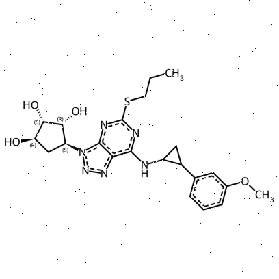 CCCSc1nc(NC2CC2c2cccc(OC)c2)c2nnn([C@H]3C[C@@H](O)[C@H](O)[C@@H]3O)c2n1